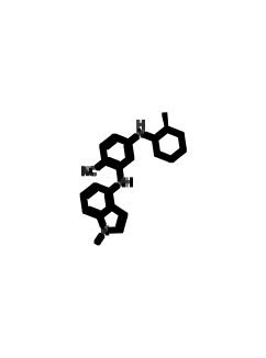 C[C@H]1CCCCC1Nc1ccc(C#N)c(Nc2cccc3c2ccn3C)c1